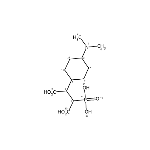 CN(C)C1CCC(C(C(=O)O)C(C(=O)O)P(=O)(O)O)CC1